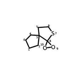 C1CCC2(C1)CCSC21OO1